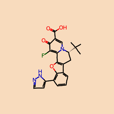 CC(C)(C)[C@@H]1Cc2c(oc3c(-c4ccn[nH]4)cccc23)-c2c(F)c(=O)c(C(=O)O)cn21